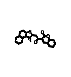 CN1/C(=C\C(=O)c2cc3ccccc3oc2=O)Sc2ccc3ccccc3c21